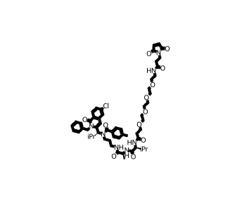 Cc1ccc(C(=O)N(CCCNC(=O)[C@H](C)NC(=O)[C@@H](NC(=O)CCOCCOCCOCCOCCNC(=O)CCN2C(=O)C=CC2=O)C(C)C)[C@@H](c2cc3cc(Cl)ccc3c(=O)n2Cc2ccccc2)C(C)C)cc1